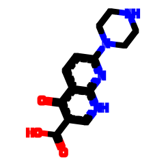 O=C(O)c1c[nH]c2nc(N3CCNCC3)ccc2c1=O